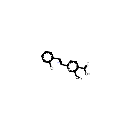 Cc1nc(/C=C/c2ccccc2Cl)ccc1C(=O)O